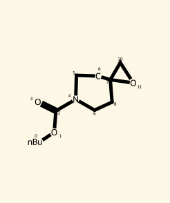 CCCCOC(=O)N1CCC2(CC1)CO2